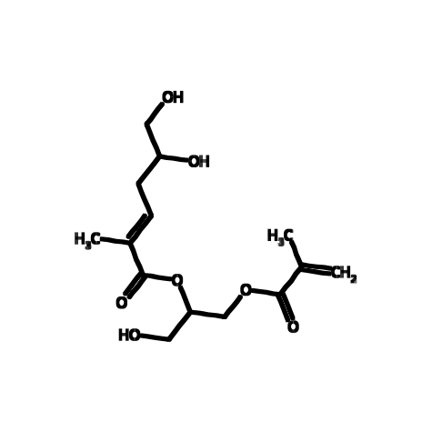 C=C(C)C(=O)OCC(CO)OC(=O)C(C)=CCC(O)CO